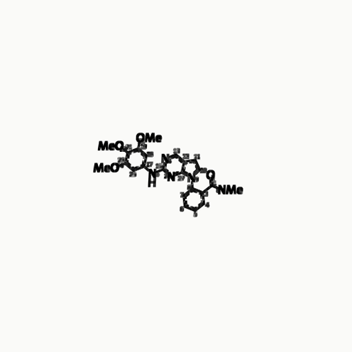 CNC(=O)c1ccccc1-n1ccc2cnc(Nc3cc(OC)c(OC)c(OC)c3)nc21